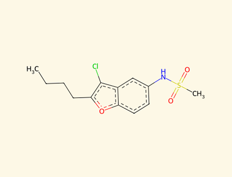 CCCCc1oc2ccc(NS(C)(=O)=O)cc2c1Cl